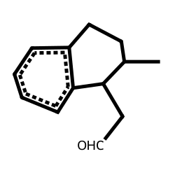 CC1CCc2ccccc2C1CC=O